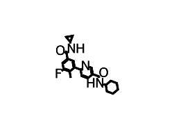 Cc1c(F)cc(C(=O)NC2CC2)cc1-c1ccc(C(=O)NC2CCCCC2)cn1